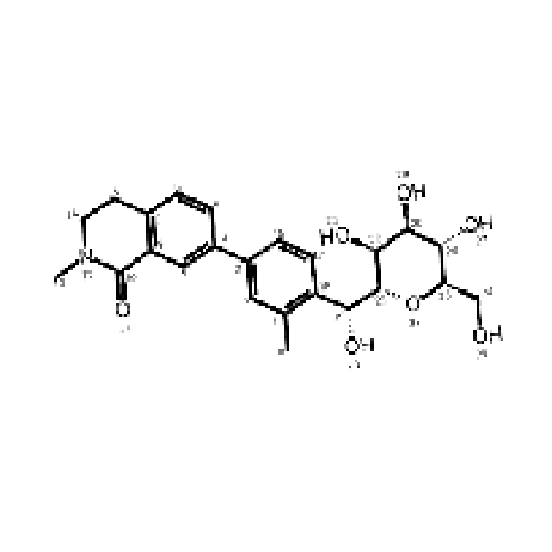 Cc1cc(-c2ccc3c(c2)C(=O)N(C)CC3)ccc1[C@@H](O)[C@H]1O[C@H](CO)[C@@H](O)[C@H](O)[C@@H]1O